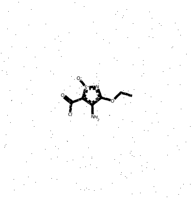 CCOc1n[s+]([O-])c(C(=O)Cl)c1N